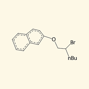 CCCCC(Br)COc1ccc2ccccc2c1